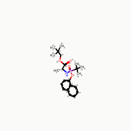 C[C@@H](NP(=O)(Oc1cccc2ccccc12)C(C)(C)C)C(=O)OCC(C)(C)C